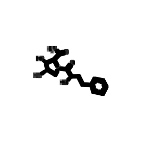 NC(=O)C1[C@@H](O)[C@H](O)CN1C(=O)[C@H](O)[CH]Cc1ccccc1